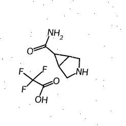 NC(=O)C1C2CNCC21.O=C(O)C(F)(F)F